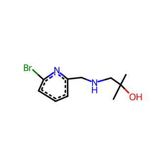 CC(C)(O)CNCc1cccc(Br)n1